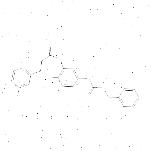 Bc1cccc(C2=Nc3ccc(NC(=O)NCc4ccccc4)cc3NC(=O)C2)c1